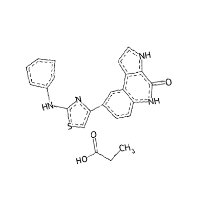 CCC(=O)O.O=c1[nH]c2ccc(-c3csc(Nc4ccccc4)n3)cc2c2cc[nH]c12